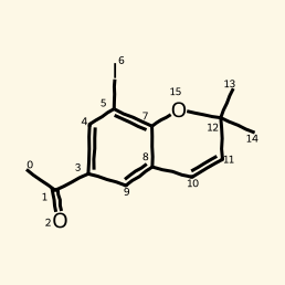 CC(=O)c1cc(I)c2c(c1)C=CC(C)(C)O2